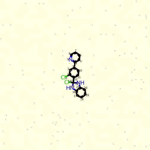 Clc1cc(-c2ccccn2)ccc1C1(Cl)Nc2ccccc2N1